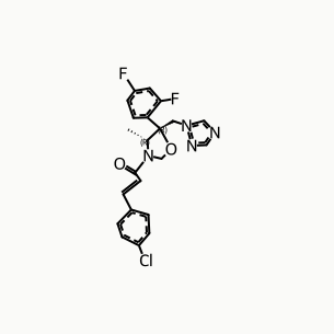 C[C@H]1N(C(=O)C=Cc2ccc(Cl)cc2)CO[C@@]1(Cn1cncn1)c1ccc(F)cc1F